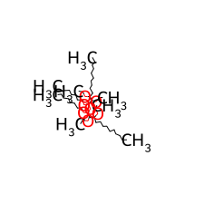 CCCCCCCCCCC(OCC)=C(OCC)C(OCCCCCCCC)OC(OCCCCCCCC)C(OCC)=C(CCCCCCCCCC)OCC